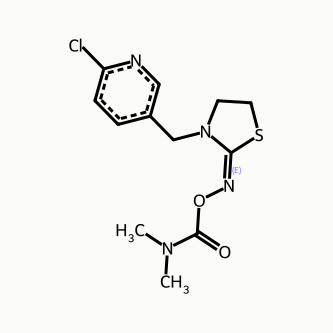 CN(C)C(=O)O/N=C1/SCCN1Cc1ccc(Cl)nc1